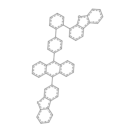 c1ccc(-c2cccc3c2oc2ccccc23)c(-c2ccc(-c3c4ccccc4c(-c4ccc5c(c4)sc4ccccc45)c4ccccc34)cc2)c1